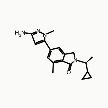 Cc1cc(-c2cc(N)nn2C)cc2c1C(=O)N([C@@H](C)C1CC1)C2